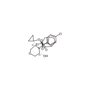 CCN1CC2CCC(C1)N2C(=O)OC1([C@H]2COC[C@@H](O)N2S(=O)(=O)c2ccc(Cl)cc2)CC1